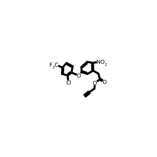 C#CCOC(=O)Cc1cc(Oc2ccc(C(F)(F)F)cc2Cl)ccc1[N+](=O)[O-]